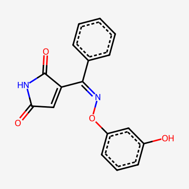 O=C1C=C(/C(=N\Oc2cccc(O)c2)c2ccccc2)C(=O)N1